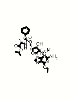 CCOc1nc(N)nc2c1ncn2[C@@H]1O[C@H](COP(=O)(N[C@@H](C)C(=O)OC(C)C)Oc2ccccc2)[C@@H](O)[C@@]1(C)N=[N+]=[N-]